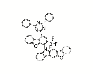 FC(F)(F)c1cc(-c2nc(-c3ccccc3)nc(-c3ccccc3)n2)c2c(oc3ccccc32)c1-n1c2ccccc2c2cc3oc4ccccc4c3cc21